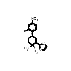 CC1(C)CCC(c2ccc([N+](=O)[O-])cc2F)CC1C1OC=CO1